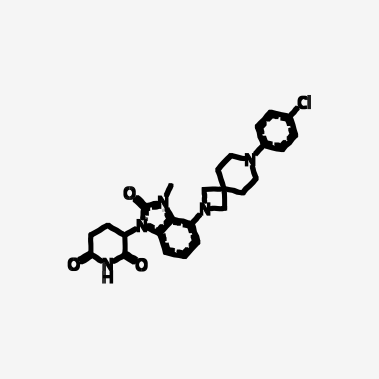 Cn1c(=O)n(C2CCC(=O)NC2=O)c2cccc(N3CC4(CCN(c5ccc(Cl)cc5)CC4)C3)c21